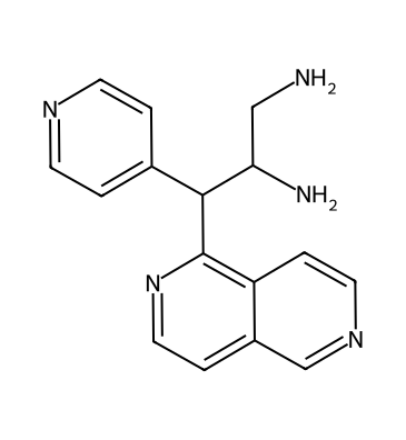 NCC(N)C(c1ccncc1)c1nccc2cnccc12